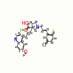 COc1ccc2ncc(F)c(CCCC3(C(=O)O)CCN(C/C=C/c4cc(Cl)ccc4F)C3)c2c1